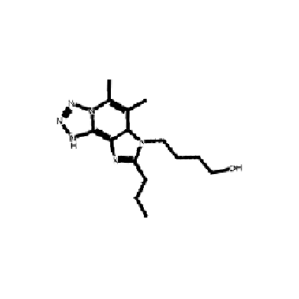 CCCC1=NC2=C3NN=NN3C(C)=C(C)C2N1CCCCO